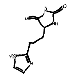 O=C1NC(=O)C(C[CH]c2ncc[nH]2)N1